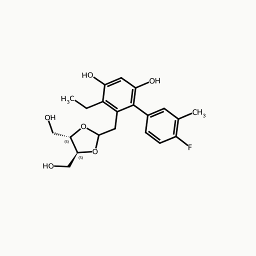 CCc1c(O)cc(O)c(-c2ccc(F)c(C)c2)c1CC1O[C@@H](CO)[C@H](CO)O1